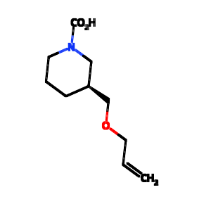 C=CCOC[C@H]1CCCN(C(=O)O)C1